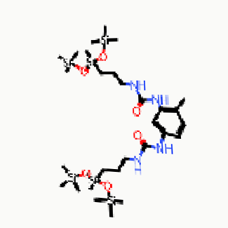 Cc1ccc(NC(=O)NCCC[Si](C)(O[Si](C)(C)C)O[Si](C)(C)C)cc1NC(=O)NCCC[Si](C)(O[Si](C)(C)C)O[Si](C)(C)C